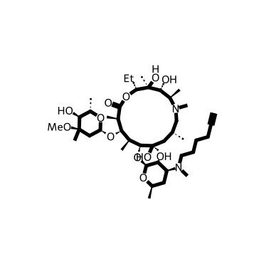 C#CCCCCN(C)[C@H]1C[C@@H](C)O[C@@H](O[C@@H]2[C@@H](C)[C@H](O[C@@H]3C[C@@](C)(OC)[C@@H](O)[C@H](C)O3)[C@@H](C)C(=O)O[C@H](CC)[C@@](C)(O)[C@H](O)[C@@H](C)N(C)C[C@H](C)C[C@@]2(C)O)[C@@H]1O